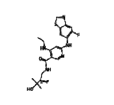 CCNc1cc(Nc2cc3scnc3cc2F)ncc1C(=O)NC[C@@H](F)C(C)(C)O